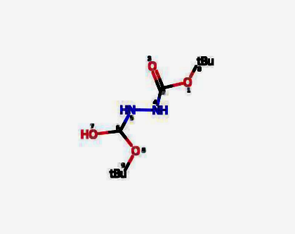 CC(C)(C)OC(=O)NNC(O)OC(C)(C)C